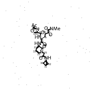 CNC(=O)C(=O)CC[C@H](NC(=O)c1coc(C(C)=O)n1)C(=O)Nc1cccn(CC(=O)NC23CC(C2)C3)c1=O